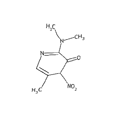 CC1=CN=C(N(C)C)C(=O)C1[N+](=O)[O-]